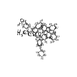 CC(I)c1ccc2c(c1)C(C)(C)c1c3c(c4ccccc4c1-2)OC(c1ccc(C2CCCCC2)cc1)(c1ccc2c(c1)C(c1ccccc1)(c1ccccc1)c1ccccc1-2)C=C3